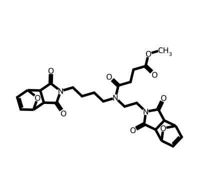 COC(=O)CCC(=O)N(CCCCN1C(=O)C2C3C=CC(O3)C2C1=O)CCN1C(=O)C2C3C=CC(O3)C2C1=O